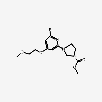 COCCOc1cc(F)nc(N2CC[C@H](C(=O)OC)C2)c1